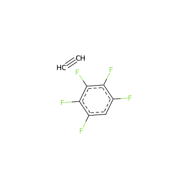 C#C.Fc1cc(F)c(F)c(F)c1F